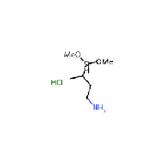 CO[SiH](OC)C(C)CCN.Cl